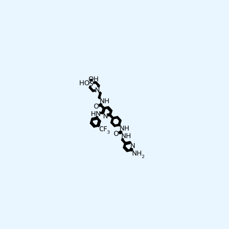 Nc1ccc(CNC(=O)NC2CCC(c3ccc(C(=O)NCCN4CCS(O)(O)CC4)c(Nc4cccc(C(F)(F)F)c4)n3)CC2)cn1